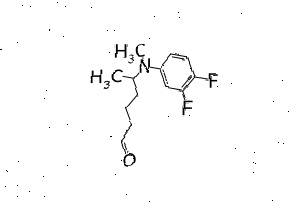 CC(CCCC=O)N(C)c1ccc(F)c(F)c1